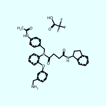 CC(=O)Nc1ccc(CN(C(=O)CCC(=O)NC2CCc3ccccc32)c2ccccc2Oc2cccc(CN)c2)cc1.O=C(O)C(F)(F)F